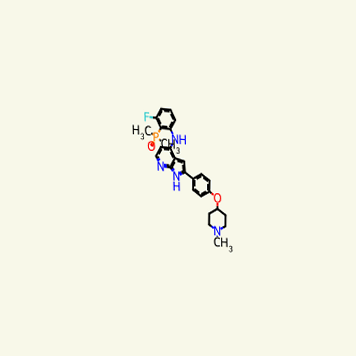 CN1CCC(Oc2ccc(-c3cc4c(Nc5cccc(F)c5P(C)(C)=O)ccnc4[nH]3)cc2)CC1